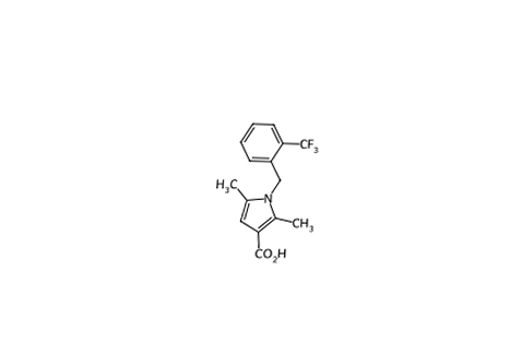 Cc1cc(C(=O)O)c(C)n1Cc1ccccc1C(F)(F)F